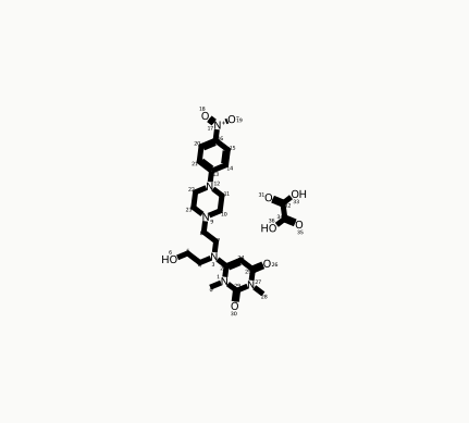 Cn1c(N(CCO)CCN2CCN(c3ccc([N+](=O)[O-])cc3)CC2)cc(=O)n(C)c1=O.O=C(O)C(=O)O